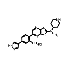 CN(c1nc2ncc(-c3ccc(-c4cn[nH]c4)cc3O)nc2s1)C1CCNCC1.Cl